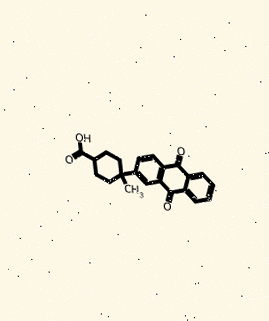 CC1(c2ccc3c(c2)C(=O)c2ccccc2C3=O)CCC(C(=O)O)CC1